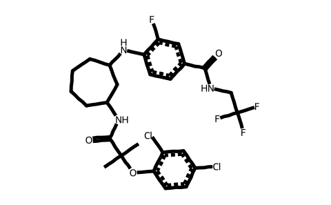 CC(C)(Oc1ccc(Cl)cc1Cl)C(=O)NC1CCCCC(Nc2ccc(C(=O)NCC(F)(F)F)cc2F)C1